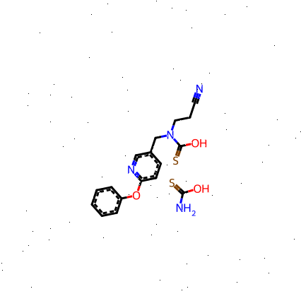 N#CCCN(Cc1ccc(Oc2ccccc2)nc1)C(O)=S.NC(O)=S